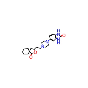 O=C1OC(CCN2CCN(c3ccc4[nH]c(=O)[nH]c4c3)CC2)CC12CCCCC2